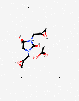 CC(=O)O.O=C1CN(CC2CO2)C(=O)N1CC1CO1